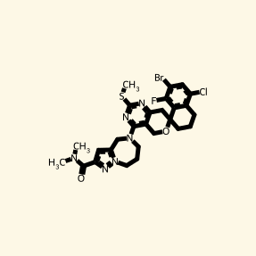 CSc1nc2c(c(N3CCCn4nc(C(=O)N(C)C)cc4C3)n1)COC1(CCCc3c(Cl)cc(Br)c(F)c31)C2